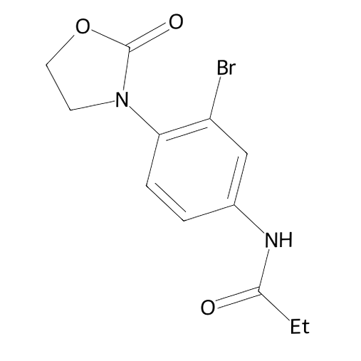 CCC(=O)Nc1ccc(N2CCOC2=O)c(Br)c1